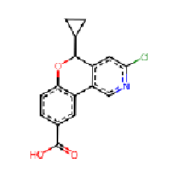 O=C(O)c1ccc2c(c1)-c1cnc(Cl)cc1C(C1CC1)O2